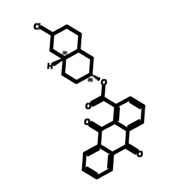 O=C(O[C@@H]1CC[C@@H]2CC(Cl)CCC2C1)c1cccc2c1C(=O)c1ccccc1C2=O